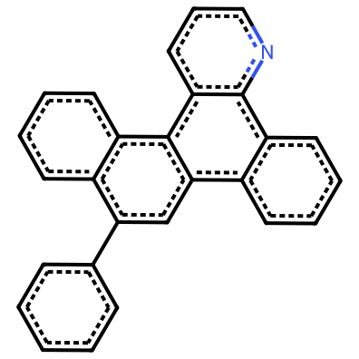 c1ccc(-c2cc3c4ccccc4c4ncccc4c3c3ccccc23)cc1